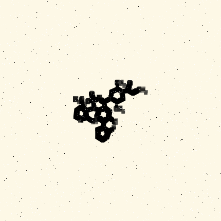 C=CC(=O)N1C[C@H](C)N(C2=N[P@@](C)(=O)N(c3c(C)ccnc3C(C)C)c3nc(-c4ccccc4F)c(Cl)cc32)C[C@H]1C